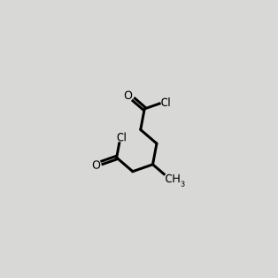 CC(CCC(=O)Cl)CC(=O)Cl